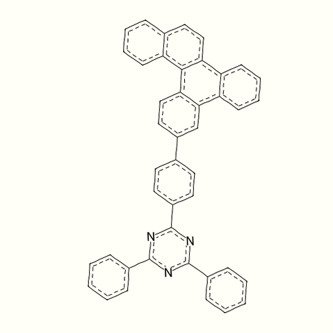 c1ccc(-c2nc(-c3ccccc3)nc(-c3ccc(-c4ccc5c(c4)c4ccccc4c4ccc6ccccc6c45)cc3)n2)cc1